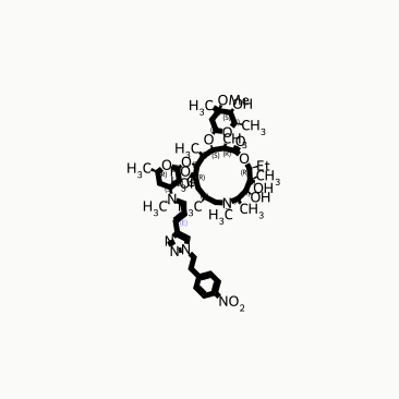 CC[C@H]1OC(=O)[C@H](C)[C@@H](O[C@H]2C[C@@](C)(OC)[C@@H](O)[C@H](C)O2)[C@H](C)[C@@H](O[C@@H]2O[C@H](C)C[C@H](N(C)C/C=C/c3cn(CCc4ccc([N+](=O)[O-])cc4)nn3)[C@H]2O)[C@](C)(O)C[C@@H](C)CN(C)[C@H](C)[C@@H](O)[C@]1(C)O